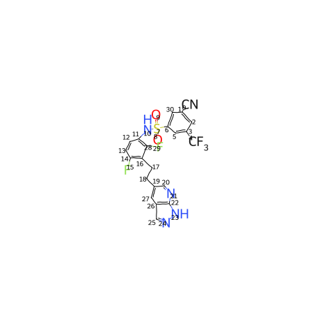 N#Cc1cc(C(F)(F)F)cc(S(=O)(=O)Nc2ccc(F)c(CCc3cnc4[nH]ncc4c3)c2F)c1